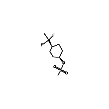 CC(F)(F)[C@H]1CC[C@@H](OS(C)(=O)=O)CC1